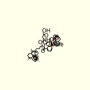 COc1cccc(C(=O)N(CCC[C@H]2O[C@@H]3O[C@]4(C)CCC5[C@H](C)CCC([C@H]2C)[C@]53OO4)C(CC[C@H]2O[C@@H]3O[C@]4(C)CCC5[C@H](C)CCC([C@H]2C)[C@]53OO4)C(=O)NCC(=O)CO)c1OC